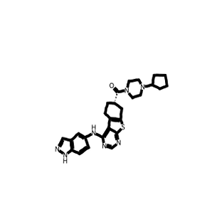 O=C([C@H]1CCc2c(sc3ncnc(Nc4ccc5[nH]ncc5c4)c23)C1)N1CCN(C2CCCC2)CC1